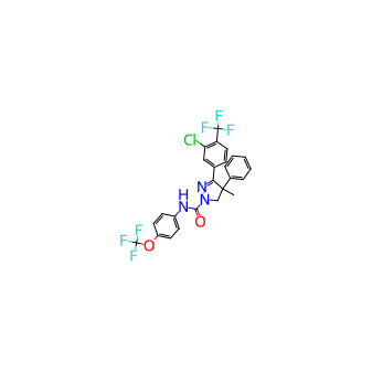 CC1(c2ccccc2)CN(C(=O)Nc2ccc(OC(F)(F)F)cc2)N=C1c1ccc(C(F)(F)F)c(Cl)c1